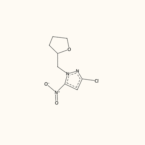 O=[N+]([O-])c1cc(Cl)nn1CC1CCCO1